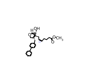 COC(=O)CCC/C=C\C[C@@H]1[C@@H](CO)[C@H]2C[C@]1(Cc1ccc(-c3ccccc3)cc1)CO2